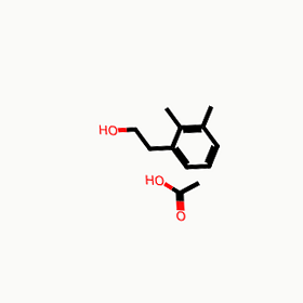 CC(=O)O.Cc1cccc(CCO)c1C